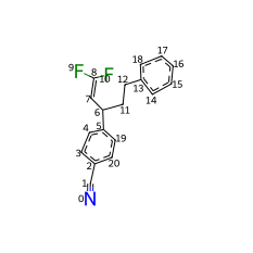 N#Cc1ccc(C(C=C(F)F)CCc2ccccc2)cc1